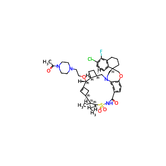 CC(=O)N1CCN(CCO[C@H]2C3=C[C@@H](C3)[C@H](C)[C@@H](C)S(=O)(=O)NC(=O)c3ccc4c(c3)N(C[C@@H]3CC[C@H]32)C[C@@]2(CCCc3c2ccc(Cl)c3F)CO4)CC1